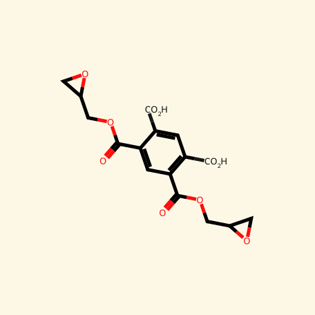 O=C(O)c1cc(C(=O)O)c(C(=O)OCC2CO2)cc1C(=O)OCC1CO1